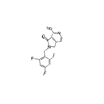 O=C1c2c(ccnc2O)CN1Cc1c(F)cc(F)cc1F